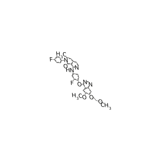 COCCOc1cc2ncnc(Oc3ccc(Nc4nccc5cc(C)n(-c6ccc(F)cc6)c(=O)c45)cc3F)c2cc1OC